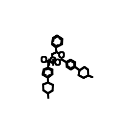 CC1CCC(c2ccc(C(=O)OCC(OC(O)c3ccc(C4CCC(C)CC4)cc3)c3ccccc3)cc2)CC1